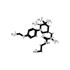 CCOc1ccc(N2C[C@H](CN(C)C(=O)NCCO)CC(C)(C)[C@@H]2C)cc1